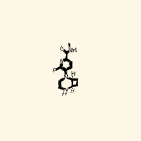 CNC(=O)c1ccc(N2CCN[C@@H]3CC[C@@H]32)c(F)n1